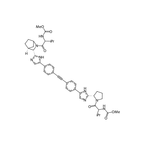 COC(=O)NC(C(=O)N1CCC[C@H]1c1ncc(-c2ccc(C#Cc3ccc(-c4cnc([C@@H]5[C@H]6CCC(C6)N5C(=O)C(NC(=O)OC)C(C)C)[nH]4)cc3)cc2)[nH]1)C(C)C